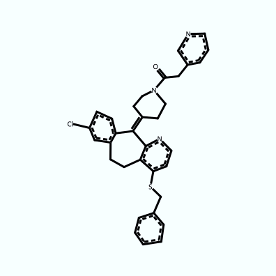 O=C(Cc1cccnc1)N1CCC(=C2c3ccc(Cl)cc3CCc3c(SCc4ccccc4)ccnc32)CC1